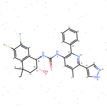 Cc1cc(NC(=O)N[C@@H]2c3cc(F)c(F)cc3C(C)(C)C[C@H]2O)c(-c2ccccc2)nc1-c1cn[nH]c1